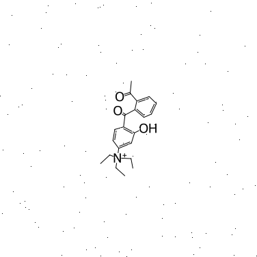 CC[N+](CC)(CC)c1ccc(C(=O)c2ccccc2C(C)=O)c(O)c1